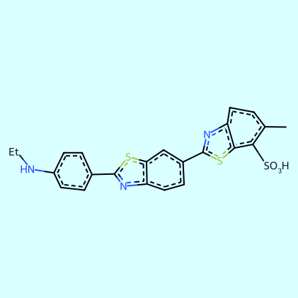 CCNc1ccc(-c2nc3ccc(-c4nc5ccc(C)c(S(=O)(=O)O)c5s4)cc3s2)cc1